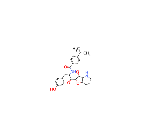 CC(C)c1ccc(C(=O)NC(Cc2ccc(O)cc2)C(=O)C2OC3CCCNC3C2=O)cc1